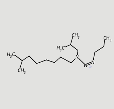 CCC/N=N\N(CCCCCCC(C)C)CC(C)C